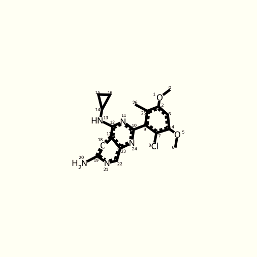 COc1cc(OC)c(Cl)c(-c2nc(NC3CC3)c3cc(N)ncc3n2)c1C